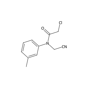 Cc1cccc(N(CC#N)C(=O)CCl)c1